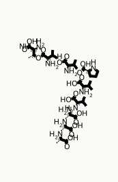 CC(C)[C@H](N)C(=O)O.CC(C)[C@H](N)C(=O)O.CC(C)[C@H](N)C(=O)O.CC(C)[C@H](N)C(=O)O[C@H](C)[C@H](N)C(=O)O.C[C@H](N)C(=O)O.C[C@H](N)C(=O)O.C[C@H](N)C(=O)O.N.O=C(O)[C@@H]1CCCN1